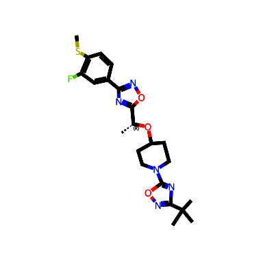 CSc1ccc(-c2noc([C@@H](C)OC3CCN(c4nc(C(C)(C)C)no4)CC3)n2)cc1F